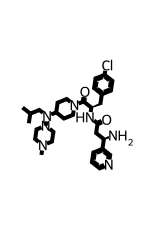 CC(C)CN(C1CCN(C(=O)[C@@H](Cc2ccc(Cl)cc2)NC(=O)C[C@@H](N)c2cccnc2)CC1)N1CCN(C)CC1